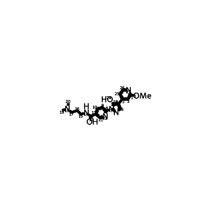 COc1cc(-c2cnn(-c3ccc(C(O)NCCCN(C)C)cn3)c2O)ccn1